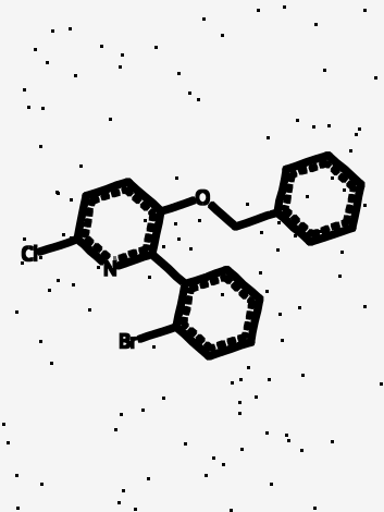 Clc1ccc(OCc2ccccc2)c(-c2ccccc2Br)n1